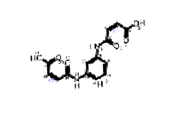 I.O=C(O)/C=C\C(=O)Nc1cccc(NC(=O)/C=C\C(=O)O)c1